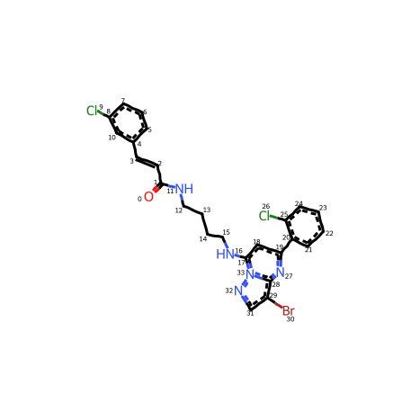 O=C(/C=C/c1cccc(Cl)c1)NCCCCNc1cc(-c2ccccc2Cl)nc2c(Br)cnn12